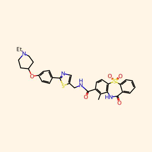 CCN1CCC(Oc2ccc(-c3ncc(CNC(=O)c4ccc5c(c4C)NC(=O)c4ccccc4S5(=O)=O)s3)cc2)CC1